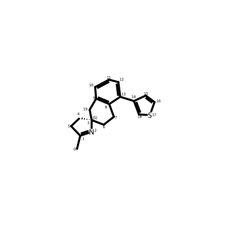 CC1=N[C@]2(CC1)CCc1c(cccc1-c1ccsc1)C2